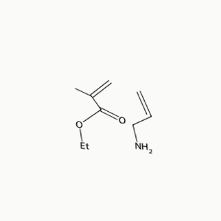 C=C(C)C(=O)OCC.C=CCN